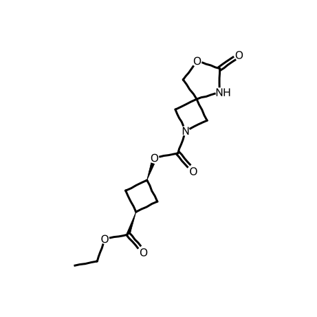 CCOC(=O)[C@H]1C[C@@H](OC(=O)N2CC3(COC(=O)N3)C2)C1